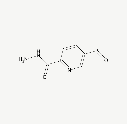 NNC(=O)c1ccc([C]=O)cn1